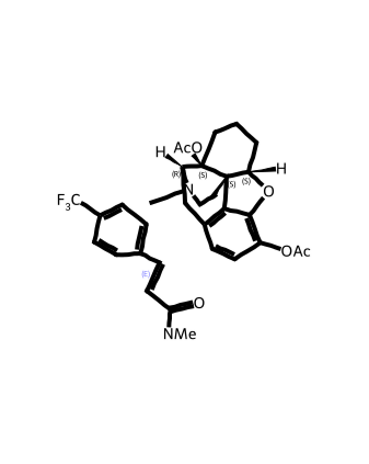 CC(=O)Oc1ccc2c3c1O[C@H]1CCC[C@@]4(OC(C)=O)[C@@H](C2)N(C)CC[C@]314.CNC(=O)/C=C/c1ccc(C(F)(F)F)cc1